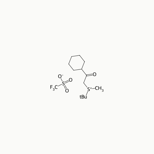 C[S+](CC(=O)C1CCCCC1)C(C)(C)C.O=S(=O)([O-])C(F)(F)F